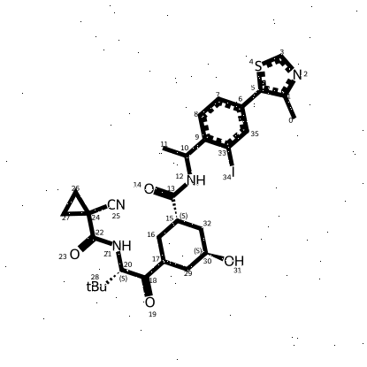 Cc1ncsc1-c1ccc(C(C)NC(=O)[C@H]2CC(C(=O)[C@@H](NC(=O)C3(C#N)CC3)C(C)(C)C)C[C@H](O)C2)c(I)c1